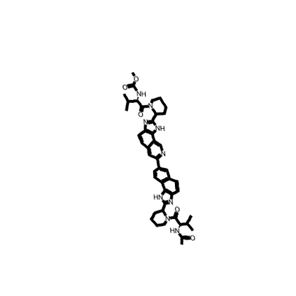 COC(=O)N[C@H](C(=O)N1CCCCC1c1nc2ccc3cc(-c4ccc5c(ccc6nc(C7CCCCN7C(=O)[C@@H](NC(C)=O)C(C)C)[nH]c65)c4)ncc3c2[nH]1)C(C)C